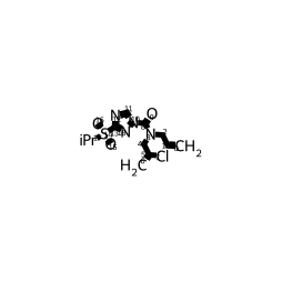 C=CCN(CC(=C)Cl)C(=O)n1cnc(S(=O)(=O)C(C)C)n1